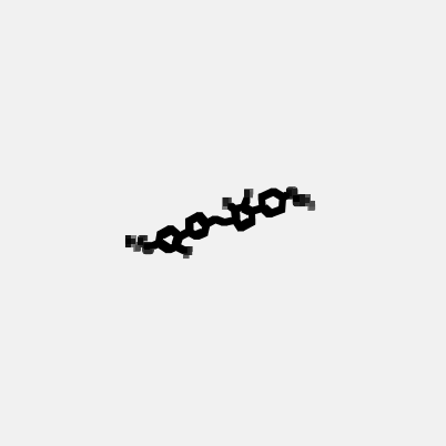 COc1ccc(-c2ccc(CCc3ccc(C4=CCC(OC)CC4)c(F)c3F)cc2)c(F)c1